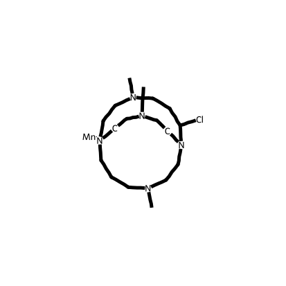 CN1CCC(Cl)N2CCN(C)CCCN(CC1)CCN(C)CC2.[Mn]